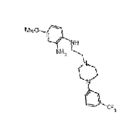 COc1ccc(NCCN2CCN(c3cccc(C(F)(F)F)c3)CC2)c(N)c1